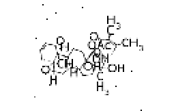 CC(=O)OC[C@]12CC[C@H]3[C@@H](C[C@H]4O[C@]45CC=CC(=O)[C@]35C)[C@]1(O)CC[C@@]2(O)[C@@](C)(O)[C@H]1CC(C)=C(C)C(=O)O1